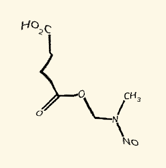 CN(COC(=O)CCC(=O)O)N=O